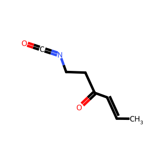 CC=CC(=O)CCN=C=O